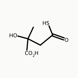 CC(O)(CC(=O)S)C(=O)O